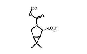 CC(C)(C)OC(=O)N1CC2C([C@H]1C(=O)O)C2(C)C